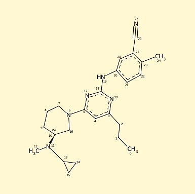 CCCc1cc(N2CCC[C@H](N(C)C3CC3)C2)nc(Nc2ccc(C)c(C#N)c2)n1